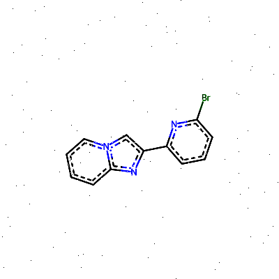 Brc1cccc(-c2cn3ccccc3n2)n1